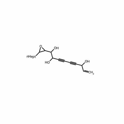 C=CC(O)C#CC#CC(O)C(O)C1OC1CCCCCCC